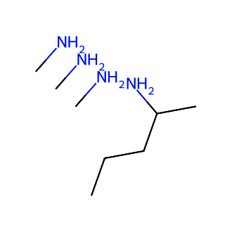 CCCC(C)N.CN.CN.CN